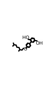 CC(C)CCCC(C)CCOc1ccc(-c2cc(CO)ccc2CO)cc1